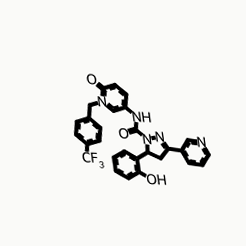 O=C(Nc1ccc(=O)n(Cc2ccc(C(F)(F)F)cc2)c1)N1N=C(c2cccnc2)CC1c1ccccc1O